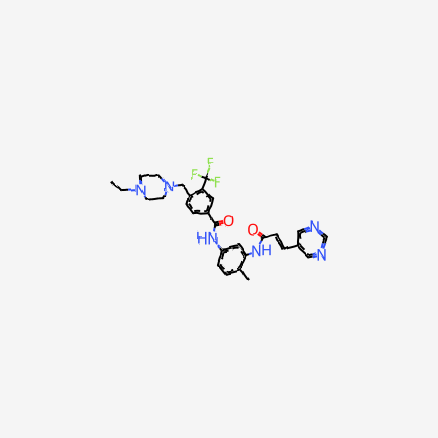 CCN1CCN(Cc2ccc(C(=O)Nc3ccc(C)c(NC(=O)/C=C/c4cncnc4)c3)cc2C(F)(F)F)CC1